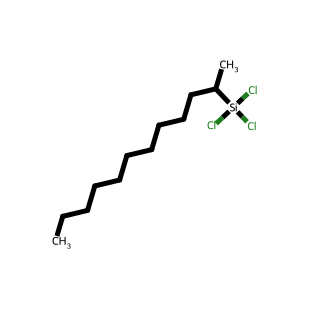 CCCCCCCCCCC(C)[Si](Cl)(Cl)Cl